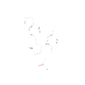 COc1ccc(F)c([C@H]2[C@H](NC(=O)C(C)(F)F)CC(=O)N2c2ccc3c(cnn3C)c2)c1